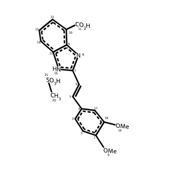 COc1ccc(/C=C/c2nc3c(C(=O)O)cccc3[nH]2)cc1OC.CS(=O)(=O)O